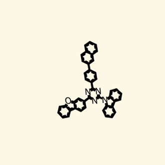 c1ccc2cc(-c3ccc(-c4nc(-c5ccc6c(c5)oc5ccccc56)nc(-n5c6ccccc6c6ccccc65)n4)cc3)ccc2c1